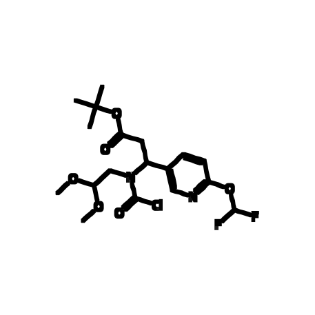 COC(CN(C(=O)Cl)C(CC(=O)OC(C)(C)C)c1ccc(OC(F)F)nc1)OC